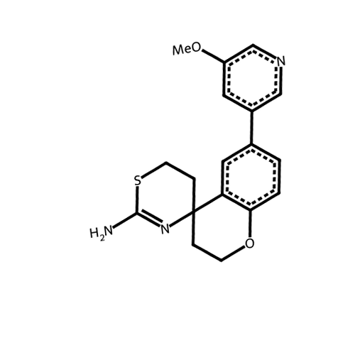 COc1cncc(-c2ccc3c(c2)C2(CCO3)CCSC(N)=N2)c1